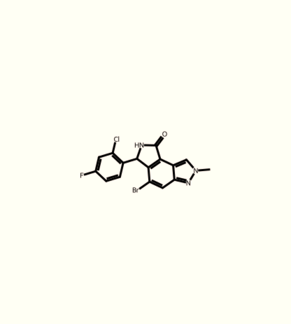 Cn1cc2c3c(c(Br)cc2n1)C(c1ccc(F)cc1Cl)NC3=O